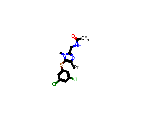 CC(C)c1nc(CNC(=O)C(F)(F)F)n(C)c1Sc1cc(Cl)cc(Cl)c1